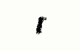 CC(C)(C)OC(=O)N1CCN(C2CCN(c3ccc(Cl)c(F)c3)CC2)CC1